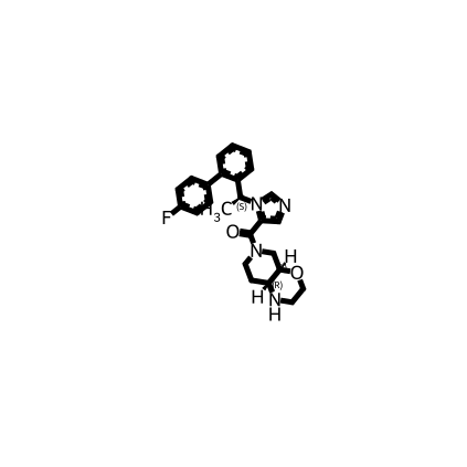 C[C@@H](c1ccccc1-c1ccc(F)cc1)n1cncc1C(=O)N1CC[C@H]2NCCO[C@@H]2C1